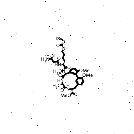 COC(=O)[C@@H]1Cc2ccc(OC)c(c2)-c2cc(ccc2OC)[C@H](N(C)C(=O)[C@H](CCCCNC(=O)OC(C)(C)C)NC(=O)CC(N)N)C(=O)N[C@@H](C)C(=O)N1